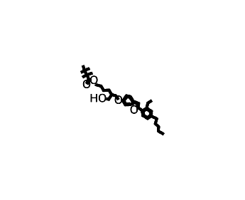 CCCCCc1ccc(-c2cc3ccc(OCC(CO)CCCCOC(=O)C(C)(C)C(C)(C)C)cc3o2)c(CC)c1